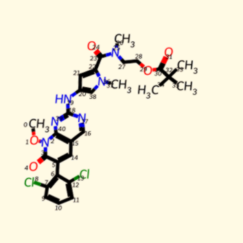 COn1c(=O)c(-c2c(Cl)cccc2Cl)cc2cnc(Nc3cc(C(=O)N(C)CCOC(=O)C(C)(C)C)n(C)c3)nc21